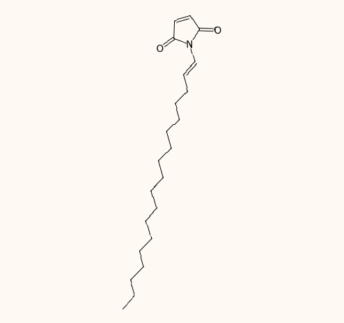 CCCCCCCCCCCCCCCCC=CN1C(=O)C=CC1=O